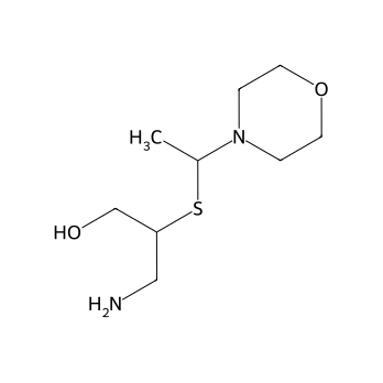 CC(SC(CN)CO)N1CCOCC1